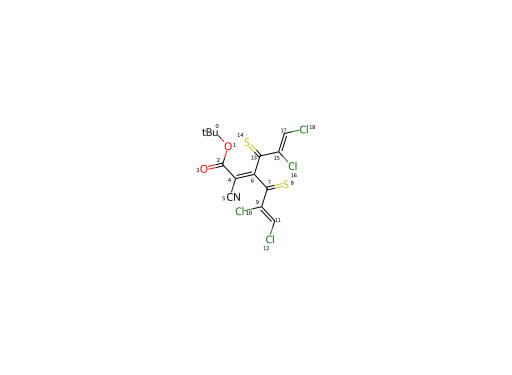 CC(C)(C)OC(=O)C(C#N)=C(C(=S)C(Cl)=CCl)C(=S)C(Cl)=CCl